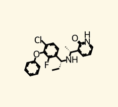 CC[C@@H](N[C@H](C)c1ccc[nH]c1=O)c1ccc(Cl)c(Oc2ccccc2)c1F